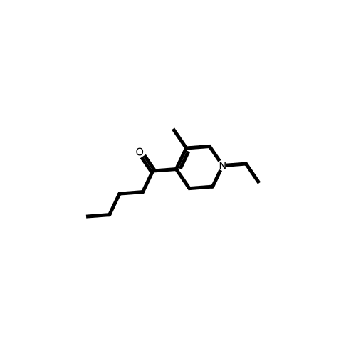 CCCCC(=O)C1=C(C)CN(CC)CC1